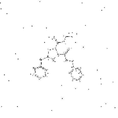 CCOC(=O)C1CC([Se]c2ccccc2)CN1C(=O)OCc1ccccc1